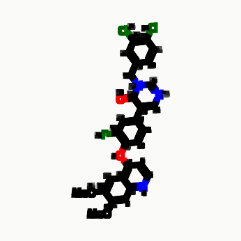 COc1cc2nccc(Oc3ccc(-c4cncn(Cc5ccc(Cl)c(Cl)c5)c4=O)cc3F)c2cc1OC